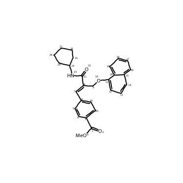 COC(=O)c1ccc(/C=C(\COc2cccc3ccccc23)C(=O)NC2CCCCC2)cc1